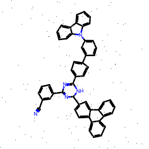 N#Cc1cccc(C2=NC(c3ccc4c5ccccc5c5ccccc5c4c3)NC(c3ccc(-c4cccc(-n5c6ccccc6c6ccccc65)c4)cc3)=N2)c1